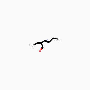 CC=C(C=O)/C=C/CC